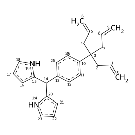 C=CCC(CC=C)(CC=C)c1ccc(C(c2ccc[nH]2)c2ccc[nH]2)cc1